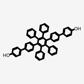 Oc1ccc(-c2ccc(-c3c(-c4ccccc4)c(-c4ccccc4)c(-c4ccc(-c5ccc(O)cc5)cc4)c(-c4ccccc4)c3-c3ccccc3)cc2)cc1